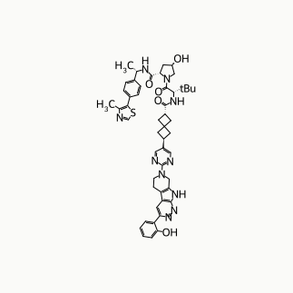 Cc1ncsc1-c1ccc([C@H](C)NC(=O)[C@@H]2C[C@@H](O)CN2C(=O)[C@@H](NC(=O)[C@H]2CC3(C2)C[C@H](c2cnc(N4CCc5c([nH]c6nnc(-c7ccccc7O)cc56)C4)nc2)C3)C(C)(C)C)cc1